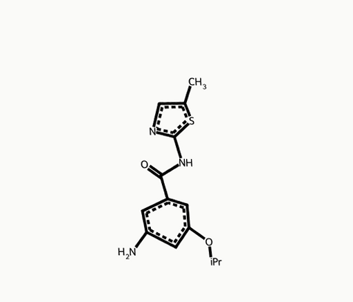 Cc1cnc(NC(=O)c2cc(N)cc(OC(C)C)c2)s1